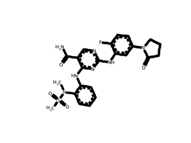 CN(c1ccccc1Nc1nc(Nc2cc(N3CCCC3=O)ccc2F)ncc1C(N)=O)S(C)(=O)=O